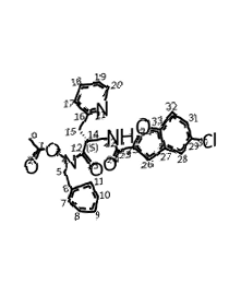 CC(=O)ON(Cc1ccccc1)C(=O)[C@H](Cc1ccccn1)NC(=O)c1cc2cc(Cl)ccc2o1